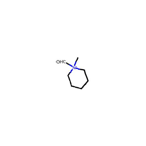 C[N+]1([C]=O)CCCCC1